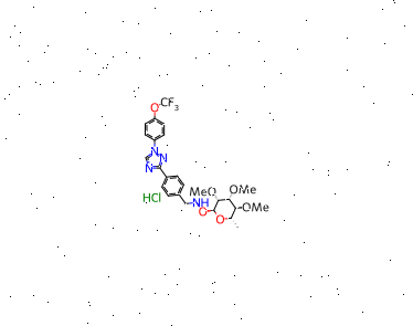 CO[C@@H]1[C@@H](OC)[C@H](C)O[C@@H](ONCc2ccc(-c3ncn(-c4ccc(OC(F)(F)F)cc4)n3)cc2)[C@@H]1OC.Cl